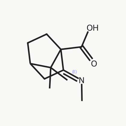 C/N=C1\CC2CCC1(C(=O)O)C2(C)C